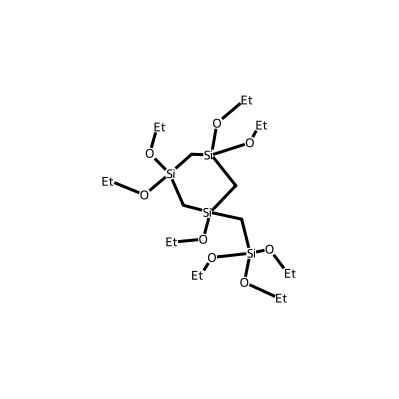 CCO[Si]1(C[Si](OCC)(OCC)OCC)C[Si](OCC)(OCC)C[Si](OCC)(OCC)C1